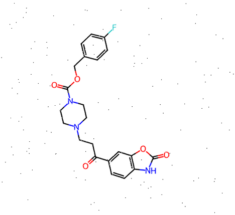 O=C(CCN1CCN(C(=O)OCc2ccc(F)cc2)CC1)c1ccc2[nH]c(=O)oc2c1